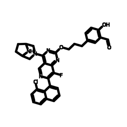 O=Cc1cc(CCCOc2nc(N3CC4CCC(C3)N4)c3cnc(-c4cccc5cccc(Cl)c45)c(F)c3n2)ccc1O